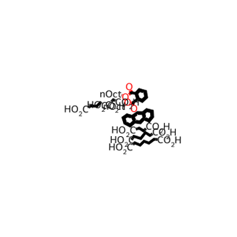 CCCCCCCCOC(=O)c1ccccc1C(=O)OCCCCCCCC.O=C(O)CC(=O)O.O=C(O)CCC(=O)O.O=C(O)CCCC(=O)O.O=C(O)CCCCC(=O)O.O=C(O)CCCCCC(=O)O.c1ccc2cc3ccccc3cc2c1